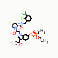 CCOP(=O)(CC)COc1ccc2c(C(C)=O)cn(CC(O)N3C[C@H](F)C[C@H]3C(=O)NCc3cccc(Cl)c3F)c2c1